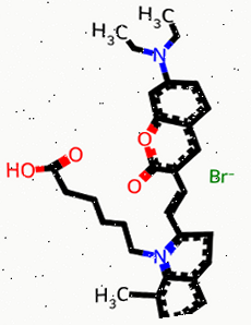 CCN(CC)c1ccc2cc(C=Cc3ccc4cccc(C)c4[n+]3CCCCCC(=O)O)c(=O)oc2c1.[Br-]